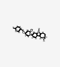 Cc1ccc(COc2ccn(-c3ccc4c5c(n(C)c4c3)CCCN(C)C5)c(=O)c2)cn1